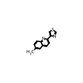 Cc1ccc2nc(-c3cscn3)ccc2c1